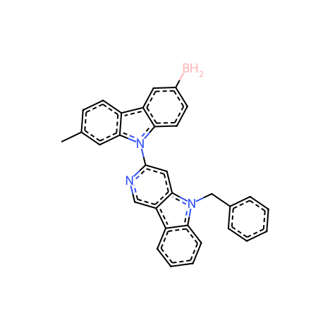 Bc1ccc2c(c1)c1ccc(C)cc1n2-c1cc2c(cn1)c1ccccc1n2Cc1ccccc1